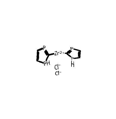 [Cl-].[Cl-].c1c[pH][c]([Zr+2][c]2pcc[pH]2)p1